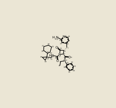 CCN(C(=O)[C@@H]1[C@@H](Cc2ccnc(N)c2)C(=O)N1C(=O)NCC1(C2CCCCC2)CC1)c1ccccc1